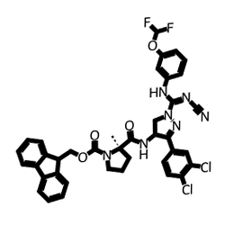 C[C@]1(C(=O)NC2CN(/C(=N\C#N)Nc3cccc(OC(F)F)c3)N=C2c2ccc(Cl)c(Cl)c2)CCCN1C(=O)OCC1c2ccccc2-c2ccccc21